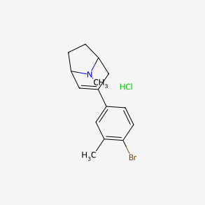 Cc1cc(C2=CC3CCC(C2)N3C)ccc1Br.Cl